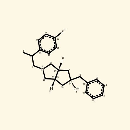 CC(CN1C[C@@H]2C[C@@](O)(Cc3ccccc3)C[C@@H]2C1)c1ccc(F)cc1